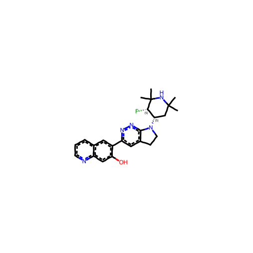 CC1(C)C[C@H](N2CCc3cc(-c4cc5cccnc5cc4O)nnc32)[C@H](F)C(C)(C)N1